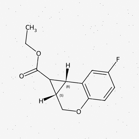 CCOC(=O)C1[C@H]2COc3ccc(F)cc3[C@@H]12